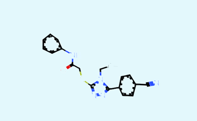 CCn1c(SCC(=O)Nc2ccccc2)nnc1-c1ccc(C#N)cc1